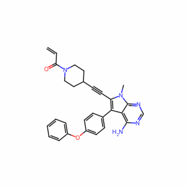 C=CC(=O)N1CCC(C#Cc2c(-c3ccc(Oc4ccccc4)cc3)c3c(N)ncnc3n2C)CC1